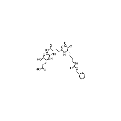 O=C(O)CC[C@H](NC(=O)N[C@@H](CCC(=O)N[C@@H](CCCCNC(=O)OCc1ccccc1)C(=O)O)C(=O)O)C(=O)O